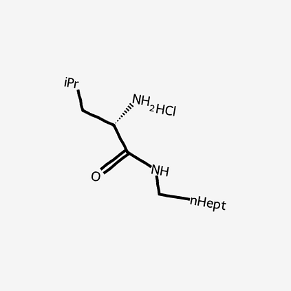 CCCCCCCCNC(=O)[C@@H](N)CC(C)C.Cl